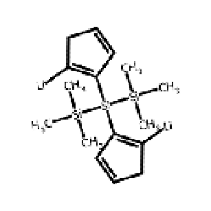 [Li][C]1=C([Si](C2=[C]([Li])CC=C2)([Si](C)(C)C)[Si](C)(C)C)C=CC1